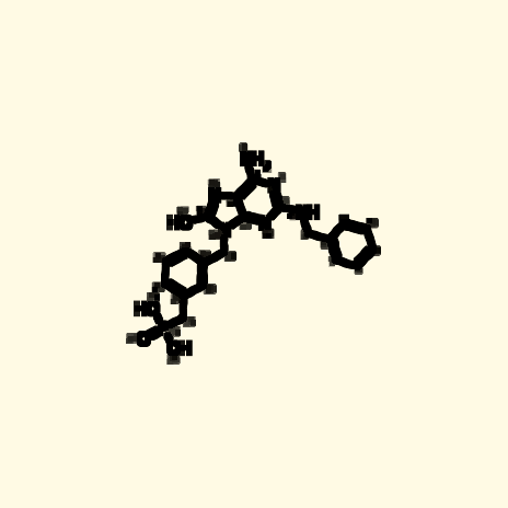 Nc1nc(NCc2ccccc2)nc2c1nc(O)n2Cc1cccc(CP(=O)(O)O)c1